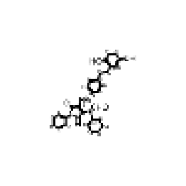 O=CN(c1[nH]n(-c2ccccc2)c(=O)c1N=Nc1ccc(CCc2cc(O)ccc2O)cc1)C1CCCCC1